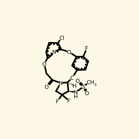 CS(=O)(=O)N[C@@H]1[C@@H]2Cc3ccc(F)c(c3)Oc3nc(ccc3Cl)OCC(=O)N2CC1(F)F